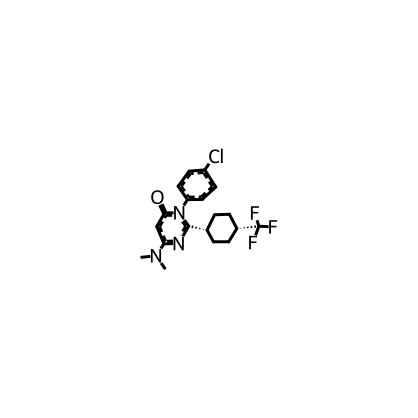 CN(C)c1cc(=O)n(-c2ccc(Cl)cc2)c([C@H]2CC[C@@H](C(F)(F)F)CC2)n1